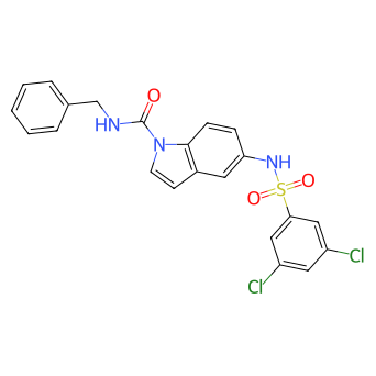 O=C(NCc1ccccc1)n1ccc2cc(NS(=O)(=O)c3cc(Cl)cc(Cl)c3)ccc21